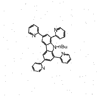 CCCCn1c2c(-c3ccccn3)cc(-c3ccccn3)cc2c2cc(-c3ccccn3)cc(-c3ccccn3)c21